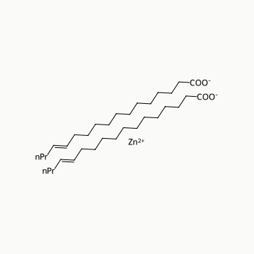 CCCC=CCCCCCCCCCCCC(=O)[O-].CCCC=CCCCCCCCCCCCC(=O)[O-].[Zn+2]